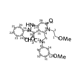 COCCn1c(CN(C)c2cccc(OC)c2)c2c(=O)n(-c3ccccc3Cl)[nH]c2cc1=O